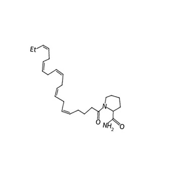 CC/C=C\C/C=C\C/C=C\C/C=C\C/C=C\CCCC(=O)N1CCCCC1C(N)=O